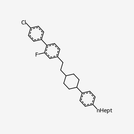 CCCCCCCc1ccc(C2CCC(CCc3ccc(-c4ccc(Cl)cc4)c(F)c3)CC2)cc1